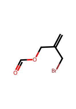 C=C(CBr)COC=O